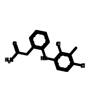 Cc1c(Cl)ccc(Nc2ccccc2CC(N)=O)c1Cl